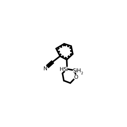 N#Cc1ccccc1[SiH]1CCCO[SiH2]1